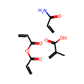 C=C(C)C(=O)O.C=CC(=O)OC(=O)C=C.C=CC(N)=O